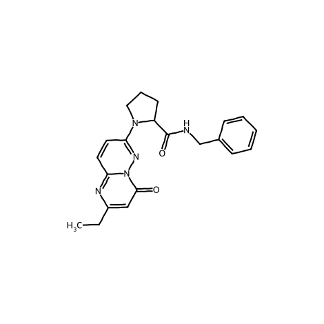 CCc1cc(=O)n2nc(N3CCCC3C(=O)NCc3ccccc3)ccc2n1